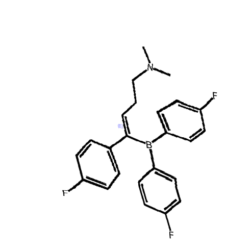 CN(C)CC/C=C(\B(c1ccc(F)cc1)c1ccc(F)cc1)c1ccc(F)cc1